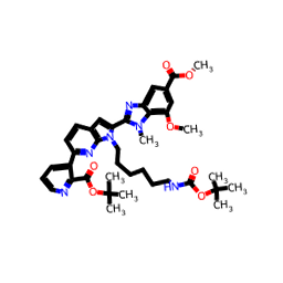 COC(=O)c1cc(OC)c2c(c1)nc(-c1cc3ccc(-c4cccnc4C(=O)OC(C)(C)C)nc3n1CCCCCCNC(=O)OC(C)(C)C)n2C